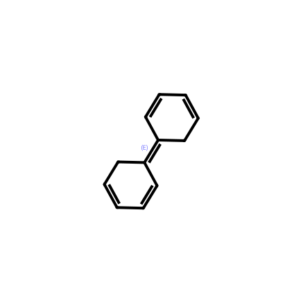 C1=CC/C(=C2\C=CC=CC2)C=C1